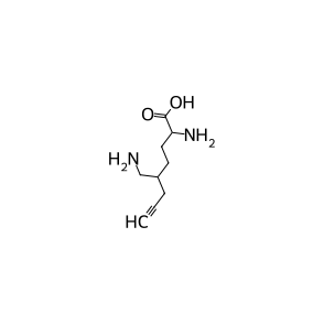 C#CCC(CN)CCC(N)C(=O)O